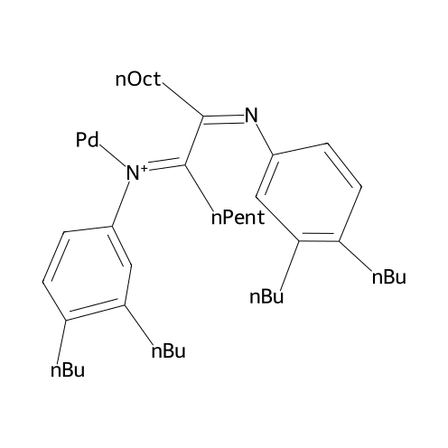 CCCCCCCCC(=Nc1ccc(CCCC)c(CCCC)c1)C(CCCCC)=[N+]([Pd])c1ccc(CCCC)c(CCCC)c1